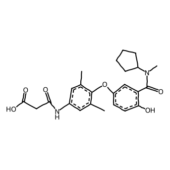 Cc1cc(NC(=O)CC(=O)O)cc(C)c1Oc1ccc(O)c(C(=O)N(C)C2CCCC2)c1